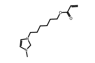 C=CC(=O)OCCCCCCN1C=CN(C)C1